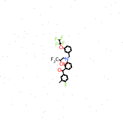 Cc1cc(C(=O)c2cccc(N(Cc3cccc(OC(F)(F)C(F)F)c3)CC(O)C(F)(F)F)c2)ccc1F